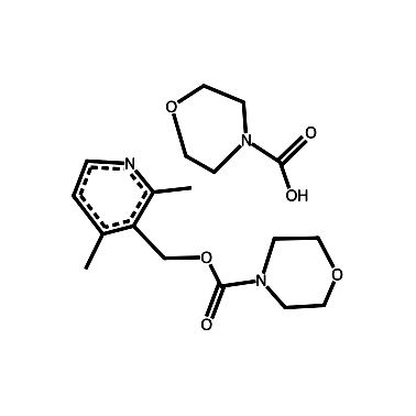 Cc1ccnc(C)c1COC(=O)N1CCOCC1.O=C(O)N1CCOCC1